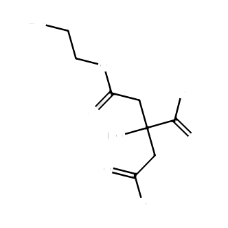 O=C(O)CC(O)(CC(=O)OCCO)C(=O)O